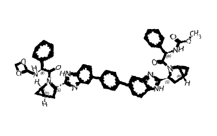 COC(=O)N[C@@H](C(=O)N1C2C[C@@H]2C[C@H]1c1nc2cc(-c3ccc(-c4ccc5[nH]c([C@@H]6C[C@H]7C[C@H]7N6C(=O)[C@H](NC6OCO6)c6ccccc6)nc5c4)cc3)ccc2[nH]1)c1ccccc1